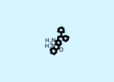 Nc1c(C=C(c2ccccc2)c2ccccc2)ccc(C(=O)c2ccccc2)c1N